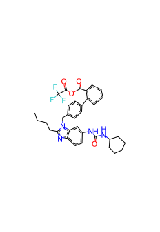 CCCCc1nc2ccc(NC(=O)NC3CCCCC3)cc2n1Cc1ccc(-c2ccccc2C(=O)OC(=O)C(F)(F)F)cc1